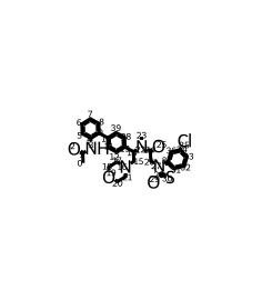 CC(=O)Nc1ccccc1-c1ccc(C(CN2CCOCC2)N(C)C(=O)Cn2c(=O)sc3ccc(Cl)cc32)cc1